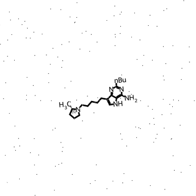 CCCCc1nc(N)c2[nH]cc(CCCCCN3CCC[C@@H]3C)c2n1